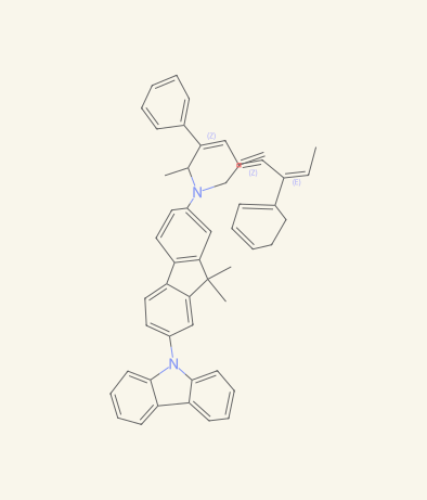 C=C/C=C(/c1ccccc1)C(C)N(C/C=C\C(=C/C)C1=CC=CCC1)c1ccc2c(c1)C(C)(C)c1cc(-n3c4ccccc4c4ccccc43)ccc1-2